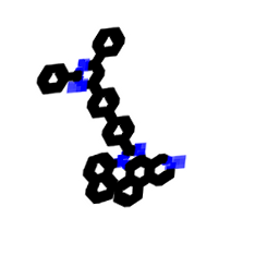 C1=Cc2c(c3nc(-c4ccc(-c5ccc(C6=CC(c7ccccc7)=NC(c7ccccc7)N6)cc5)cc4)n(-c4cccc5ccccc45)c3c3ccccc23)CN1